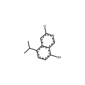 CC(C)c1ccc(O)c2cnc(Cl)cc12